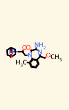 COCC1=NC(N)C(=O)N(CC(=O)N2CC3CCC(CC3)C2)c2c(C)cccc21